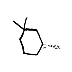 CC[C@@H]1CCCC(C)(C)C1